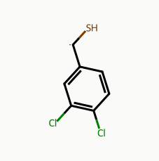 S[CH]c1ccc(Cl)c(Cl)c1